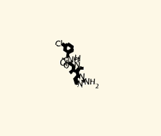 Cc1[nH]c(C(=O)N[C@H](CO)c2cccc(Cl)c2)c(C)c1-c1ccnc(N)n1